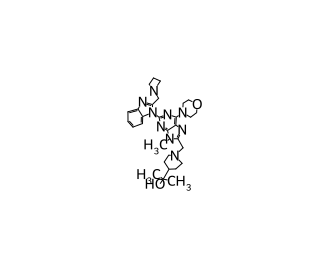 Cn1c(CN2CCC(C(C)(C)O)CC2)nc2c(N3CCOCC3)nc(-n3c(CN4CCC4)nc4ccccc43)nc21